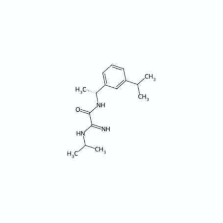 CC(C)NC(=N)C(=O)N[C@H](C)c1cccc(C(C)C)c1